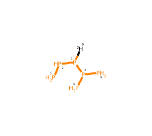 [2H]P(PP)P(P)P